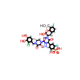 O=C(O)c1c(F)ccc2c1OB(O)[C@@H](NC(=O)C(NC(=O)N1CCN(Cc3ccc(O)c(O)c3Cl)C(=O)C1=O)c1cc(F)c(P(=O)(O)O)c(F)c1)C2